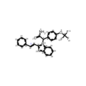 NC(=O)C(c1ccc(OC(F)(F)F)cc1)n1c(/C=C/c2ccccc2)nc2ccccc21